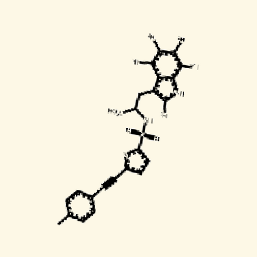 [2H]c1[nH]c2c([2H])c([2H])c([2H])c([2H])c2c1CC(NS(=O)(=O)c1ccc(C#Cc2ccc(C)cc2)s1)C(=O)O